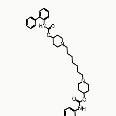 O=C(Nc1ccccc1-c1ccccc1)OC1CCN(CCCCCCCN2CCC(OC(=O)Nc3ccccc3-c3ccccc3)CC2)CC1